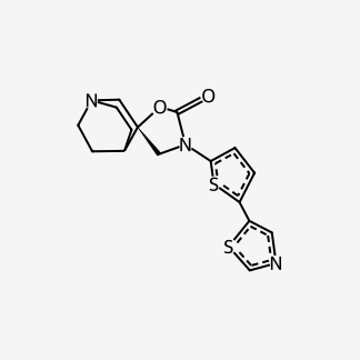 O=C1O[C@]2(CN3CCC2CC3)CN1c1ccc(-c2cncs2)s1